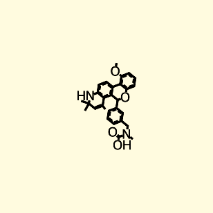 COc1cccc2c1-c1ccc3c(c1C(c1cccc(CN(C)C(=O)O)c1)O2)C(C)=CC(C)(C)N3